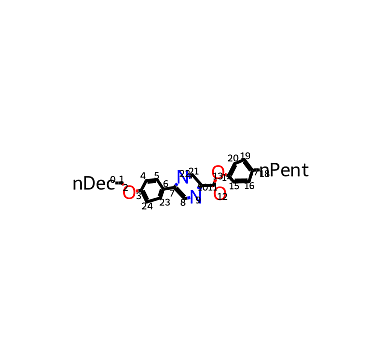 CCCCCCCCCCCOc1ccc(-c2cnc(C(=O)Oc3ccc(CCCCC)cc3)cn2)cc1